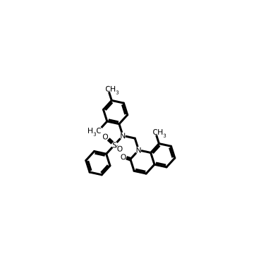 Cc1ccc(N(Cn2c(=O)ccc3cccc(C)c32)S(=O)(=O)c2ccccc2)c(C)c1